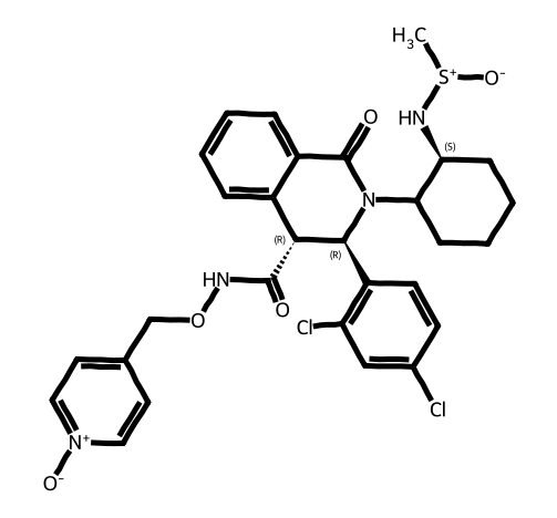 C[S+]([O-])N[C@H]1CCCCC1N1C(=O)c2ccccc2[C@@H](C(=O)NOCc2cc[n+]([O-])cc2)[C@@H]1c1ccc(Cl)cc1Cl